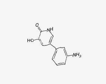 Nc1cccc(-c2c[nH]c(=O)c(O)c2)c1